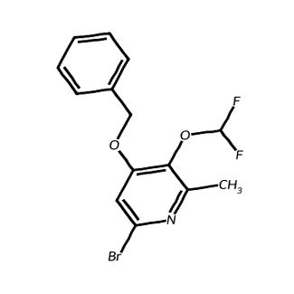 Cc1nc(Br)cc(OCc2ccccc2)c1OC(F)F